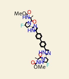 COC(=O)N[C@@H](C)C(=O)N1C[C@@H](F)C[C@H]1c1ncc(-c2ccc(-c3ccc(-c4cnc([C@@H]5C[C@H](F)CN5C(=O)[C@H](C)NC(=O)OC)[nH]4)cc3)cc2)[nH]1